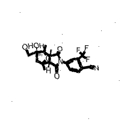 CC12C[C@@](O)(CO)C(C)(O1)[C@]1(C)C(=O)N(c3ccc(C#N)c(C(F)(F)F)c3)C(=O)[C@H]21